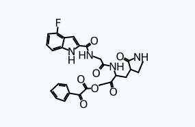 O=C(CNC(=O)c1cc2c(F)cccc2[nH]1)NC(CC1CCNC1=O)C(=O)COC(=O)C(=O)c1ccccc1